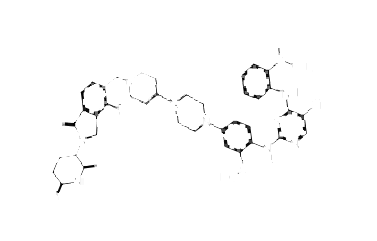 COc1cc(N2CCN(C3CCN(Cc4ccc5c(c4F)CN(C4CCC(=O)NC4=O)C5=O)CC3)CC2)ccc1Nc1ncc(Cl)c(Nc2ccccc2P(C)C)n1